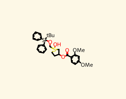 COc1ccc(C(=O)OC2CCS(O)(CO[Si](c3ccccc3)(c3ccccc3)C(C)(C)C)C2)c(OC)c1